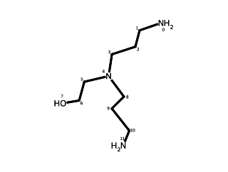 NCCCN(CCO)CCCN